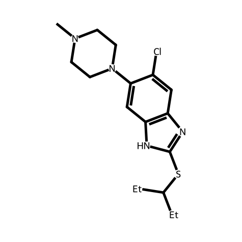 CCC(CC)Sc1nc2cc(Cl)c(N3CCN(C)CC3)cc2[nH]1